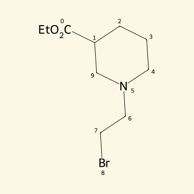 CCOC(=O)C1CCCN(CCBr)C1